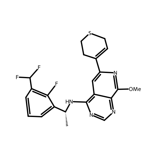 COc1nc(C2=CCSCC2)cc2c(N[C@H](C)c3cccc(C(F)F)c3F)ncnc12